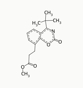 COC(=O)CCc1cccc2c(C(C)(C)C)nc(=O)oc12